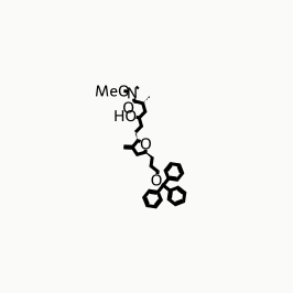 C=C1C[C@H](CCCOC(c2ccccc2)(c2ccccc2)c2ccccc2)O[C@H]1CCC(O)C[C@@H](C)C(=O)N(C)OC